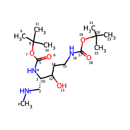 CNC[C@H](NC(=O)OC(C)(C)C)C(O)CCNC(=O)OC(C)(C)C